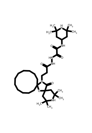 CC1(C)CC(NC(=O)C(=O)NNC(=O)CCN2C(=O)C3(CC(C)(C)NC(C)(C)C3)OC23CCCCCCCCCCC3)CC(C)(C)N1